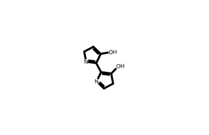 OC1=CCN=C1C1=C(O)CC=N1